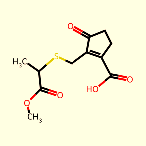 COC(=O)C(C)SCC1=C(C(=O)O)CCC1=O